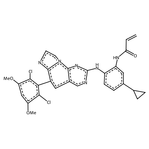 C=CC(=O)Nc1cc(C2CC2)ccc1Nc1ncc2cc(-c3c(Cl)c(OC)cc(OC)c3Cl)c3nccn3c2n1